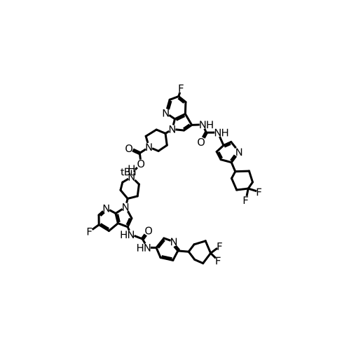 CC(C)(C)OC(=O)N1CCC(n2cc(NC(=O)Nc3ccc(C4CCC(F)(F)CC4)nc3)c3cc(F)cnc32)CC1.O=C(Nc1ccc(C2CCC(F)(F)CC2)nc1)Nc1cn(C2CCNCC2)c2ncc(F)cc12